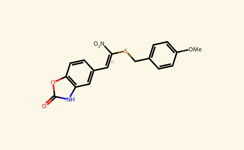 COc1ccc(CS/C(=C/c2ccc3oc(=O)[nH]c3c2)[N+](=O)[O-])cc1